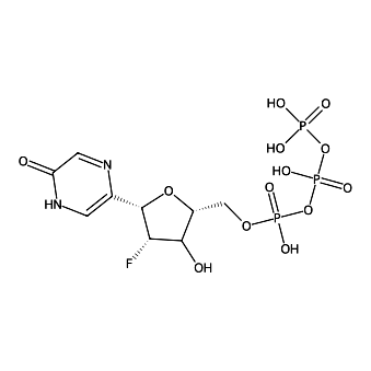 O=c1cnc([C@@H]2O[C@H](COP(=O)(O)OP(=O)(O)OP(=O)(O)O)C(O)[C@@H]2F)c[nH]1